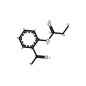 [CH2]C(=O)c1ccccc1OC(=O)CC